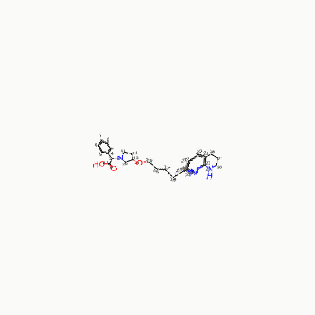 O=C(O)[C@@H](c1ccccc1)N1CC[C@@H](OCCCCc2ccc3c(n2)NCCC3)C1